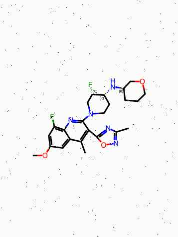 COc1cc(F)c2nc(N3CC[C@@H](N[C@@H]4CCCOC4)[C@@H](F)C3)c(-c3nc(C)no3)c(C)c2c1